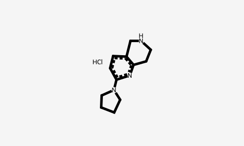 Cl.c1cc2c(nc1N1CCCC1)CCNC2